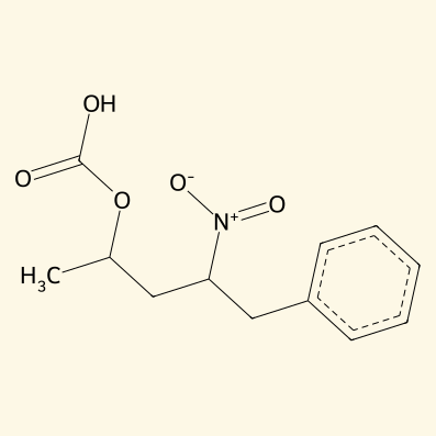 CC(CC(Cc1ccccc1)[N+](=O)[O-])OC(=O)O